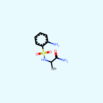 CCCC(NS(=O)(=O)c1ccccc1N)C(N)=O